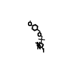 COc1ccc(COCC(C)(C)c2cc(I)nn2C)cc1